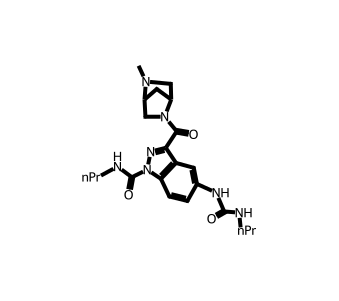 CCCNC(=O)Nc1ccc2c(c1)c(C(=O)N1CC3CC1CN3C)nn2C(=O)NCCC